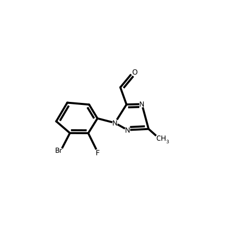 Cc1nc(C=O)n(-c2cccc(Br)c2F)n1